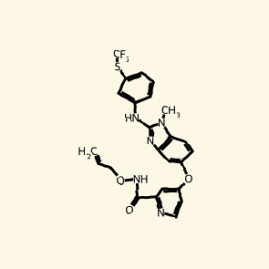 C=CCONC(=O)c1cc(Oc2ccc3c(c2)nc(Nc2cccc(SC(F)(F)F)c2)n3C)ccn1